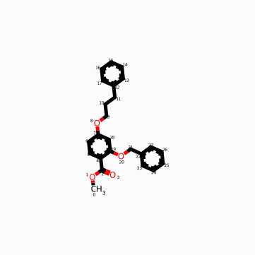 COC(=O)c1ccc(OCCCc2ccccc2)cc1OCc1ccccc1